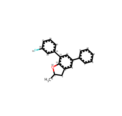 CC1Cc2cc(-c3ccccc3)cc(-c3cccc(F)c3)c2O1